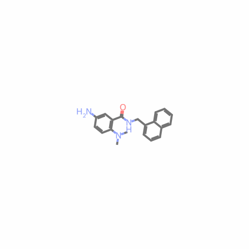 CN(C)c1ccc(N)cc1C(=O)NCc1cccc2ccccc12